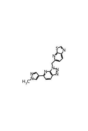 Cn1cc(-c2ccc3nnn(Cc4ccc5ncsc5n4)c3n2)cn1